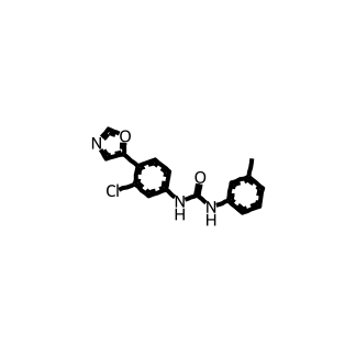 Cc1cccc(NC(=O)Nc2ccc(-c3cnco3)c(Cl)c2)c1